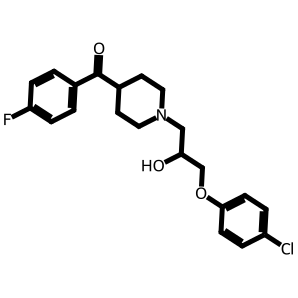 O=C(c1ccc(F)cc1)C1CCN(CC(O)COc2ccc(Cl)cc2)CC1